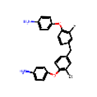 CCc1cc(Cc2ccc(Oc3ccc(N)cc3)c(CC)c2)ccc1Oc1ccc(N)cc1